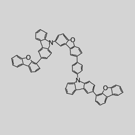 c1ccc2c(c1)oc1c(-c3ccc4c(c3)c3ccccc3n4-c3ccc(-c4ccc5oc6ccc(-n7c8ccccc8c8cc(-c9cccc%10c9oc9ccccc9%10)ccc87)cc6c5c4)cc3)cccc12